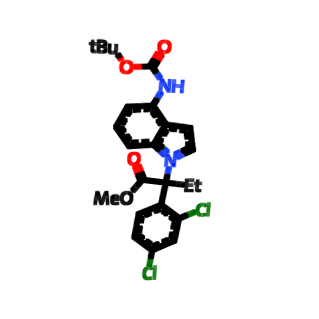 CCC(C(=O)OC)(c1ccc(Cl)cc1Cl)n1ccc2c(NC(=O)OC(C)(C)C)cccc21